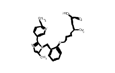 Cc1ccc(-c2ncc(C)n2Cc2ccccc2OCCCC(C)CC(=O)O)cn1